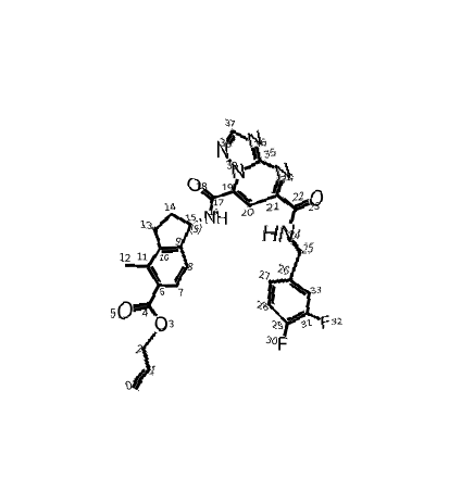 C=CCOC(=O)c1ccc2c(c1C)CC[C@@H]2NC(=O)c1cc(C(=O)NCc2ccc(F)c(F)c2)nc2ncnn12